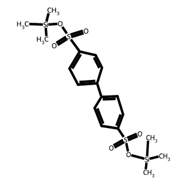 C[Si](C)(C)OS(=O)(=O)c1ccc(-c2ccc(S(=O)(=O)O[Si](C)(C)C)cc2)cc1